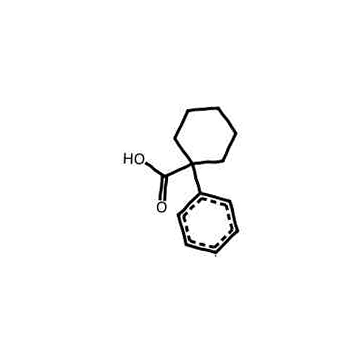 O=C(O)C1(c2cc[c]cc2)CCCCC1